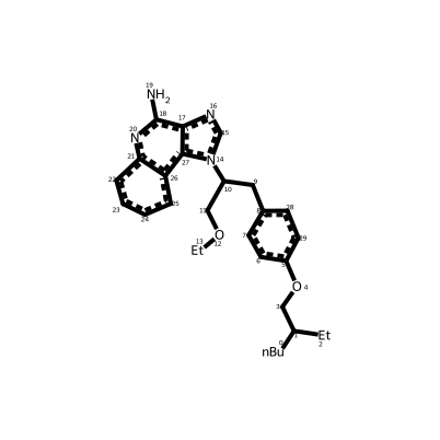 CCCCC(CC)COc1ccc(CC(COCC)n2cnc3c(N)nc4ccccc4c32)cc1